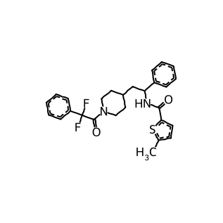 Cc1ccc(C(=O)NC(CC2CCN(C(=O)C(F)(F)c3ccccc3)CC2)c2ccccc2)s1